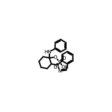 O=S(=O)(O)OC1(Nc2ccccc2)CCCCC1n1ncc2ccccc21